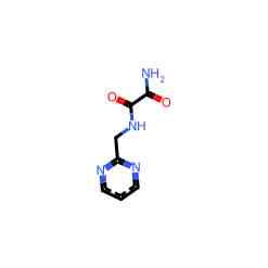 NC(=O)C(=O)NCc1ncccn1